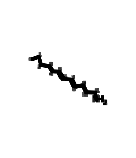 CCCCCC=CC=CCCCN